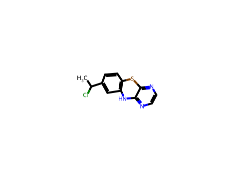 CC(Cl)c1ccc2c(c1)Nc1nccnc1S2